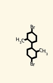 CC1CC(Br)CCC1C1CCC(Br)CC1C